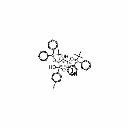 CC(C)(C)[Si](O[C@H]1[C@H](O)[C@@H](O[Si](c2ccccc2)(c2ccccc2)C(C)(C)C)[C@@](O)(c2ccc(F)cc2)O[C@@H]1CO)(c1ccccc1)c1ccccc1